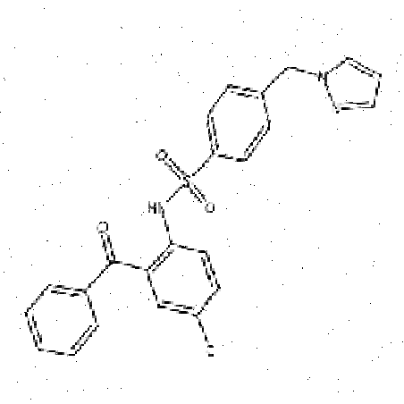 O=C(c1ccccc1)c1cc(Cl)ccc1NS(=O)(=O)c1ccc(Cn2cccn2)cc1